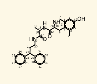 Cc1cc(O)cc(C)c1C[C@H](N)C(=O)N[C@H](C)C(=O)NCCC(c1ccccc1)c1ccccc1